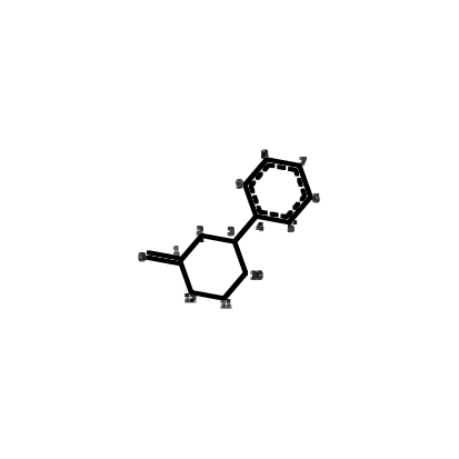 C=C1[CH]C(c2[c]cccc2)CCC1